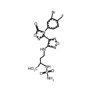 NS(=O)(=O)NC(CCNc1nonc1-c1noc(=O)n1-c1ccc(F)c(Br)c1)C(=O)O